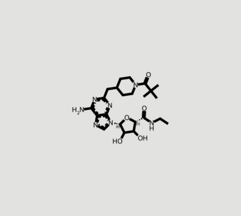 CCNC(=O)[C@H]1O[C@@H](n2cnc3c(N)nc(CC4CCN(C(=O)C(C)(C)C)CC4)nc32)C(O)C1O